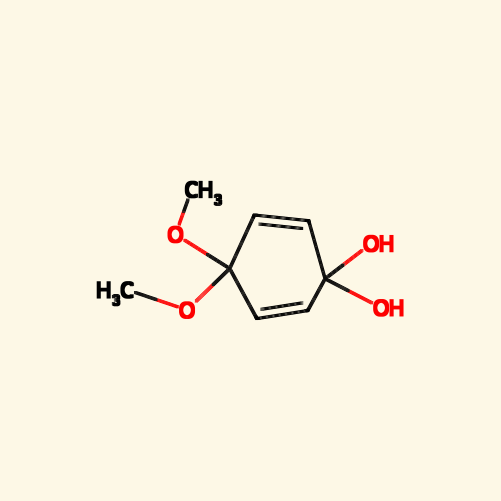 COC1(OC)C=CC(O)(O)C=C1